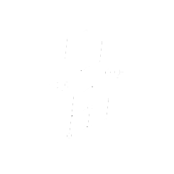 O=C(O)C1(C2(C(=O)O)CCC34OC3(C2)O4)CCCCC1